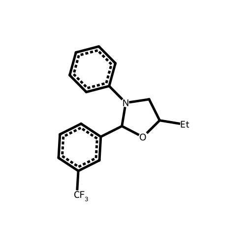 CCC1CN(c2ccccc2)C(c2cccc(C(F)(F)F)c2)O1